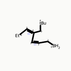 BC/C=C\C(=C/CC)CC(C)(C)C